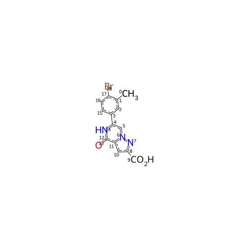 Cc1cc(-c2cn3nc(C(=O)O)cc3c(=O)[nH]2)ccc1Br